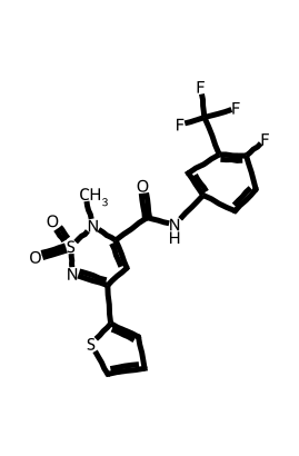 CN1C(C(=O)Nc2ccc(F)c(C(F)(F)F)c2)=CC(c2cccs2)=NS1(=O)=O